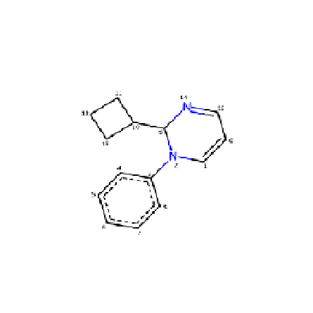 C1=CN(c2ccccc2)C(C2CCC2)N=C1